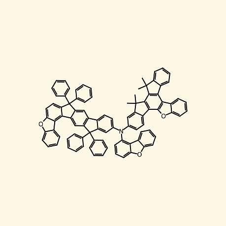 CC1(C)c2cc(N(c3ccc4c(c3)C(c3ccccc3)(c3ccccc3)c3cc5c(cc3-4)C(c3ccccc3)(c3ccccc3)c3ccc4oc6ccccc6c4c3-5)c3cccc4oc5ccccc5c34)ccc2-c2c1c1c(c3c2oc2ccccc23)-c2ccccc2C1(C)C